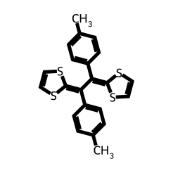 Cc1ccc(C(=C2SC=CS2)C(=C2SC=CS2)c2ccc(C)cc2)cc1